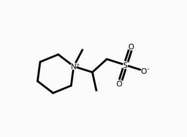 CC(CS(=O)(=O)[O-])[N+]1(C)CCCCC1